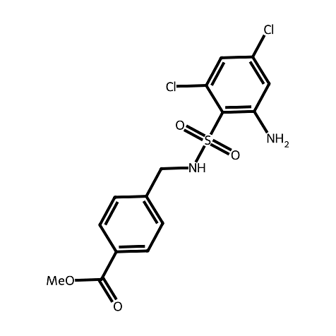 COC(=O)c1ccc(CNS(=O)(=O)c2c(N)cc(Cl)cc2Cl)cc1